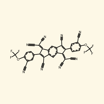 N#CC(C#N)=C1C(c2ccc(OC(F)(F)F)c(C#N)c2)=C(C#N)c2cc3c(cc21)C(C#N)=C(c1ccc(OC(F)(F)F)c(C#N)c1)C3=C(C#N)C#N